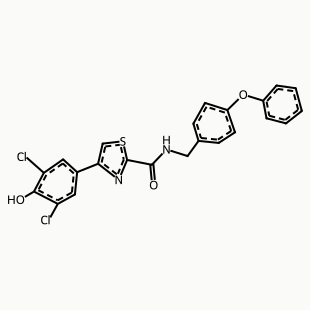 O=C(NCc1ccc(Oc2ccccc2)cc1)c1nc(-c2cc(Cl)c(O)c(Cl)c2)cs1